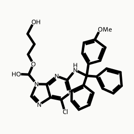 COc1ccc(C(Nc2nc(Cl)c3ncn(C(O)OCCCO)c3n2)(c2ccccc2)c2ccccc2)cc1